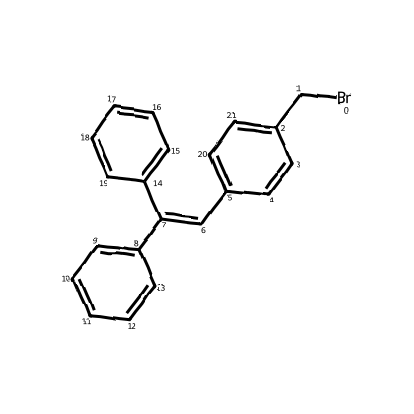 BrCc1ccc(C=C(c2ccccc2)c2ccccc2)cc1